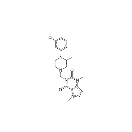 COc1cccc(N2CCN(Cn3c(=O)c4c(ncn4C)n(C)c3=O)CC2C)c1